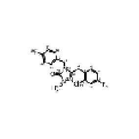 Cn1nc(Cc2ccc(F)cc2Cl)n(Cc2ccc(F)cc2)c1=O